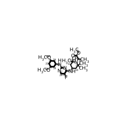 COC(=O)C(C)N1C(C)(C)CC(Nc2nc(Nc3cc(OC)cc(OC)c3)ncc2F)CC1(C)C